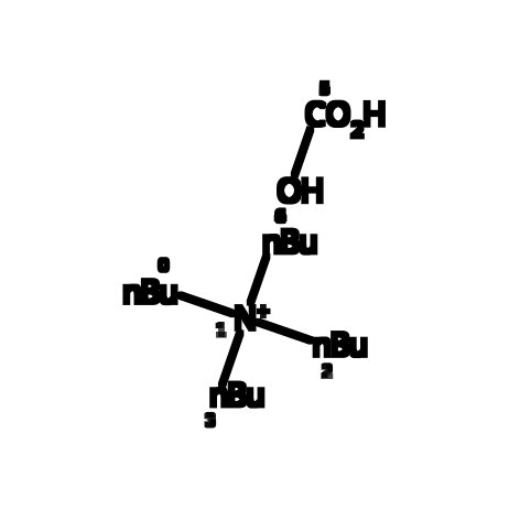 CCCC[N+](CCCC)(CCCC)CCCC.O=C(O)O